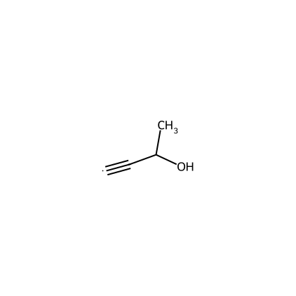 [C]#CC(C)O